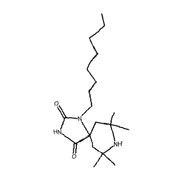 CCCCCCCCN1C(=O)NC(=O)C12CC(C)(C)NC(C)(C)C2